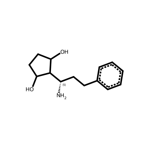 N[C@@H](CCc1ccccc1)C1C(O)CCC1O